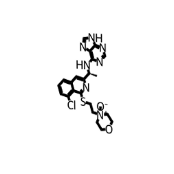 C[C@H](Nc1ncnc2[nH]cnc12)c1cc2cccc(Cl)c2c(SCC[N+]2([O-])CCOCC2)n1